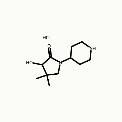 CC1(C)CN(C2CCNCC2)C(=O)C1O.Cl